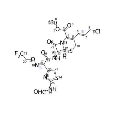 CC(C)(C)OC(=O)C1=C(/C=C/CCl)CS[C@H]2[C@H](NC(=O)/C(=N\OCC(F)(F)F)c3csc(NC=O)n3)C(=O)N12